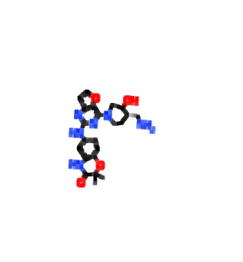 CC1(C)Oc2ccc(Nc3nc(N4CC[C@@H](CN)[C@H](O)C4)c4occc4n3)cc2NC1=O